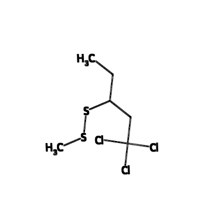 CCC(CC(Cl)(Cl)Cl)SSC